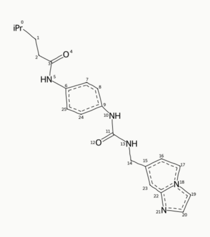 CC(C)CCC(=O)Nc1ccc(NC(=O)NCc2ccn3ccnc3c2)cc1